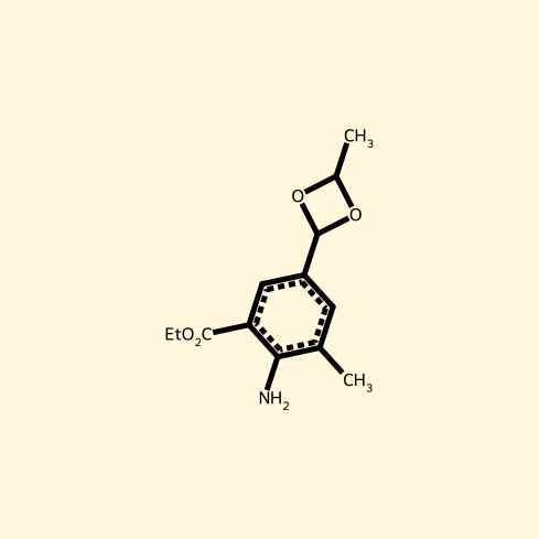 CCOC(=O)c1cc(C2OC(C)O2)cc(C)c1N